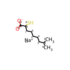 CC(C)CCCCCC(S)C(=O)[O-].[Na+]